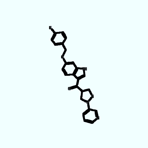 O=C(c1c[nH]c2cc(OCc3ccc(F)cc3)ccc12)C1CSN(c2cccnc2)C1